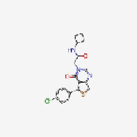 O=C(Cn1cnc2csc(-c3ccc(Cl)cc3)c2c1=O)NC1CCC1